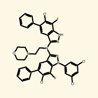 Fc1c(Cl)c(-c2ccccc2)cc2c(N(CCN3CCOCC3)c3nn(-c4cc(Cl)cc(Cl)c4)c4c(F)c(Cl)c(-c5ccccc5)cc34)n[nH]c12